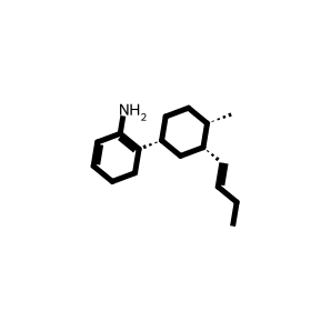 CC/C=C/[C@@H]1C[C@H](C2=C(N)C=CCC2)CC[C@@H]1C